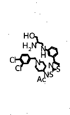 CC(=O)N(Sc1nc(-c2cccc(NC[C@@H](N)CO)c2)cs1)C1CCN(Cc2ccc(Cl)c(Cl)c2)CC1